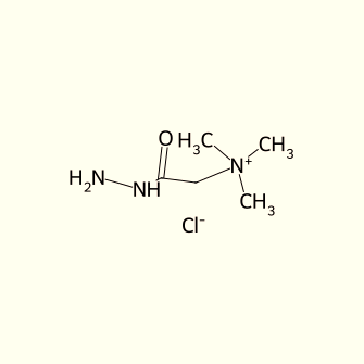 C[N+](C)(C)CC(=O)NN.[Cl-]